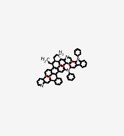 C=C/C(=C(\C=C/C)c1ccc2cccnc2c1)c1c2ccccc2c(-c2ccccc2-c2ccc3cccnc3c2)c2cc(N(c3ccccc3)c3ccc4c(c3)c3ccccc3n4-c3ccccc3)ccc12